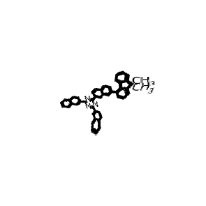 CC1(C)c2ccccc2-c2c(-c3ccc4ccc(-c5nc(-c6ccc7ccccc7c6)nc(-c6ccc7ccccc7c6)n5)cc4c3)cccc21